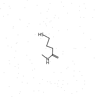 C=C(CCCS)NC